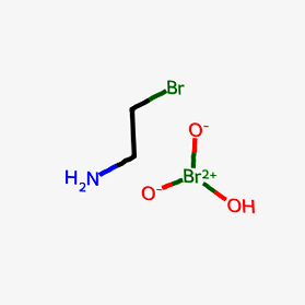 NCCBr.[O-][Br+2]([O-])O